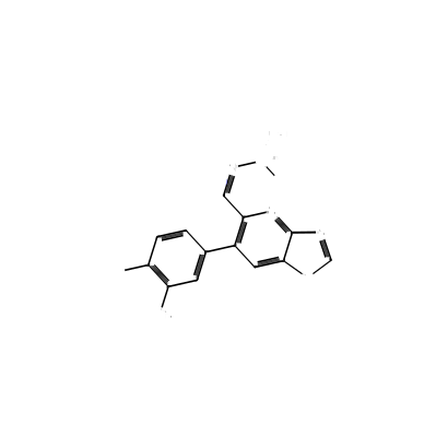 CC(C)(C)[S@+]([O-])/N=C\c1nc2ncsc2cc1-c1ccc(F)c(C#N)c1